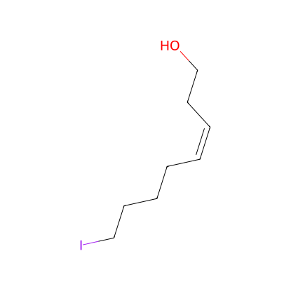 OCC/C=C\CCCCI